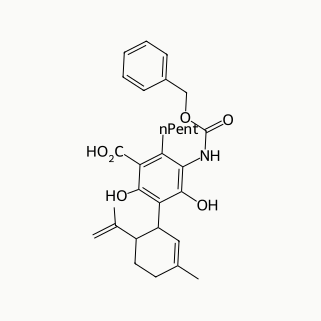 C=C(C)C1CCC(C)=CC1c1c(O)c(NC(=O)OCc2ccccc2)c(CCCCC)c(C(=O)O)c1O